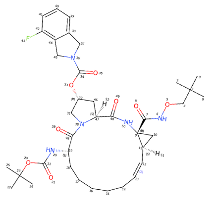 CC(C)(C)CONC(=O)[C@@]12C[C@H]1/C=C\CCCCC[C@H](NC(=O)OC(C)(C)C)C(=O)N1C[C@H](OC(=O)N3Cc4cccc(F)c4C3)C[C@H]1C(=O)N2